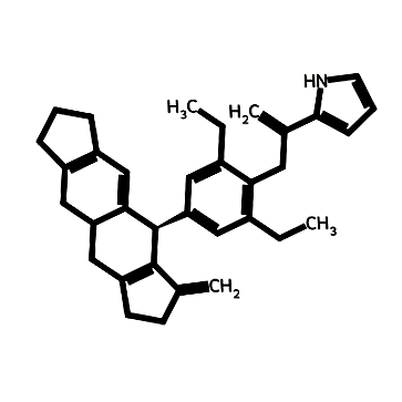 C=C1CCC2=C1[C@H](c1cc(CC)c(CC(=C)c3ccc[nH]3)c(CC)c1)C1=CC3=C(CCC3)CC1C2